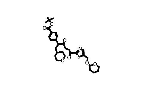 CC(C)(C)OC(=O)c1ccc(C(CC2CCOCC2)C(=O)CCC(=O)c2ncc(COC3CCCCO3)s2)cc1